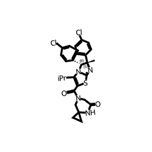 CC(C)C1=C(C(=O)N2CC(=O)NC3(CC3)C2)SC2=N[C@@](C)(c3ccc(Cl)cc3)[C@@H](c3ccc(Cl)cc3)N21